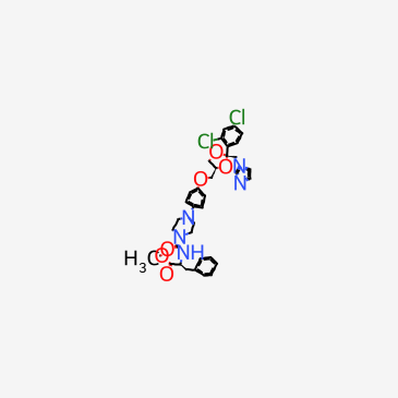 COC(=O)[C@H](Cc1ccccc1)NC(=O)N1CCN(c2ccc(OC[C@H]3CO[C@](Cn4ccnc4)(c4ccc(Cl)cc4Cl)O3)cc2)CC1